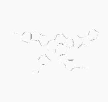 CC(C)(C)c1ccc(Nc2cc3c(cc2-c2ccc4c5cc6c(cc5n5c4c2Bc2oc4ccc(C(C)(C)C)cc4c2-5)oc2ccccc26)sc2cc(C(C)(C)C)ccc23)cc1